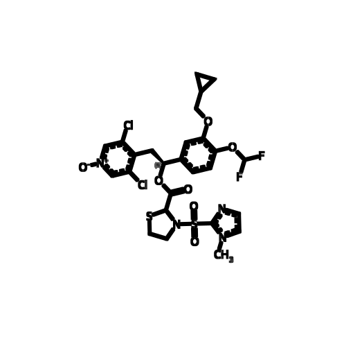 Cn1ccnc1S(=O)(=O)N1CCSC1C(=O)O[C@@H](Cc1c(Cl)c[n+]([O-])cc1Cl)c1ccc(OC(F)F)c(OCC2CC2)c1